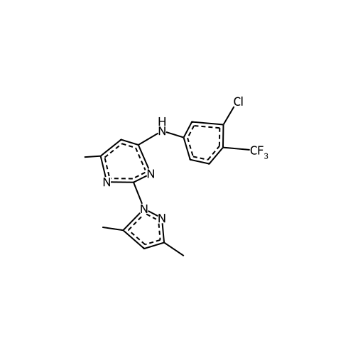 Cc1cc(Nc2ccc(C(F)(F)F)c(Cl)c2)nc(-n2nc(C)cc2C)n1